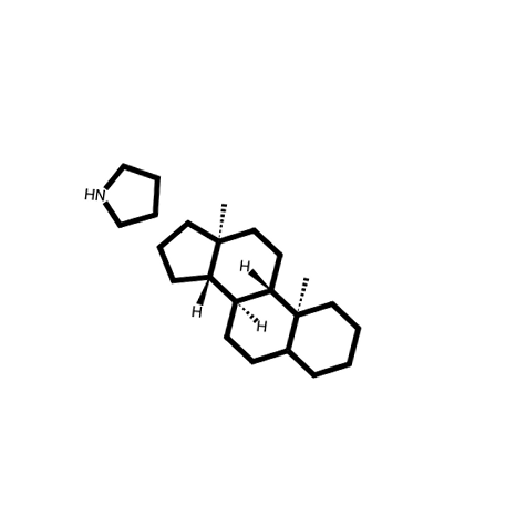 C1CCNC1.C[C@@]12CCC[C@H]1[C@@H]1CCC3CCCC[C@]3(C)[C@H]1CC2